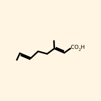 C/C=C/CC/C(C)=C/C(=O)O